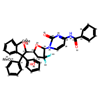 COc1ccccc1C(c1ccccc1)(c1ccccc1OC)C(O)[C@H]1O[C@@H](n2ccc(NC(=O)c3ccccc3)nc2=O)C(F)(F)[C@@H]1O